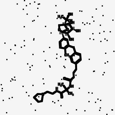 Cc1ccc([C@]23OC[C@](C(C)(C)O)(O2)[C@@H](O)[C@H](O)[C@H]3O)cc1Cc1ccc(CCCC(=O)NC(C)(C)C(=O)NCCN2CCCC2)cc1